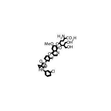 COc1cc2c(Oc3ccc(NC(=O)C4(C(=O)Nc5cccc(Cl)c5)CC4)cc3F)ccnc2cc1OC(CCC(N)C(=O)O)C(O)C(CO)CO